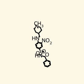 CN1CCC(CNc2ccc(S(=O)(=O)NC(=O)c3ccccc3)cc2[N+](=O)[O-])CC1